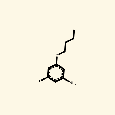 CCCCOc1cc(N)cc(F)c1